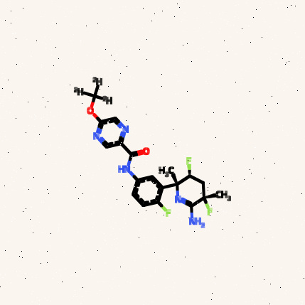 [2H]C([2H])([2H])Oc1cnc(C(=O)Nc2ccc(F)c([C@@]3(C)N=C(N)[C@@](C)(F)C[C@@H]3F)c2)cn1